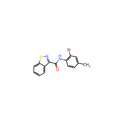 Cc1ccc(NC(=O)c2nsc3ccccc23)c(Br)c1